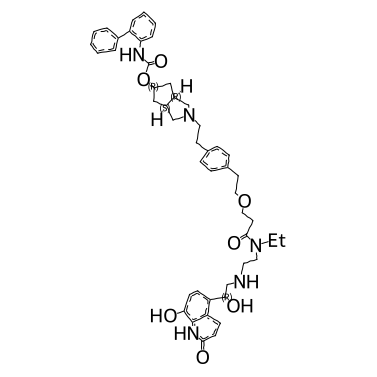 CCN(CCNC[C@H](O)c1ccc(O)c2[nH]c(=O)ccc12)C(=O)CCOCCc1ccc(CCN2C[C@H]3C[C@@H](OC(=O)Nc4ccccc4-c4ccccc4)C[C@H]3C2)cc1